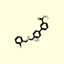 Cl.NC(=O)c1cccc(-c2ccc(CNCc3ccccc3F)cc2)c1